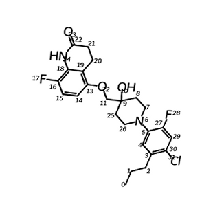 CCCc1cc(N2CCC(O)(COc3ccc(F)c4c3CCC(=O)N4)CC2)c(F)cc1Cl